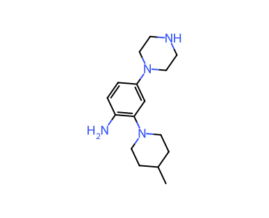 CC1CCN(c2cc(N3CCNCC3)ccc2N)CC1